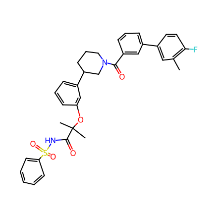 Cc1cc(-c2cccc(C(=O)N3CCCC(c4cccc(OC(C)(C)C(=O)NS(=O)(=O)c5ccccc5)c4)C3)c2)ccc1F